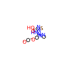 COc1ccc(COc2ccc3c(c2)c(Nc2nc(SC)ncc2C(=O)O)nn3-c2ccccn2)cc1